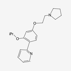 CC(C)Oc1cc(OCCN2CCCC2)ccc1-c1ccc[c]n1